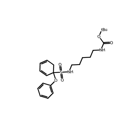 CC(C)(C)OC(=O)NCCCCCNS(=O)(=O)C1(Oc2ccccc2)C=CC=CC1